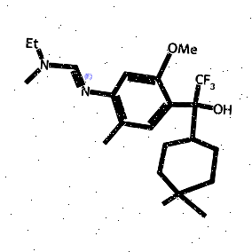 CCN(C)/C=N/c1cc(OC)c(C(O)(C2CCC(C)(C)CC2)C(F)(F)F)cc1C